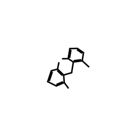 Cc1cccc(C)c1Cc1c(C)cccc1C